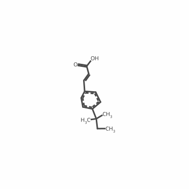 CCC(C)(C)c1ccc(C=CC(=O)O)cc1